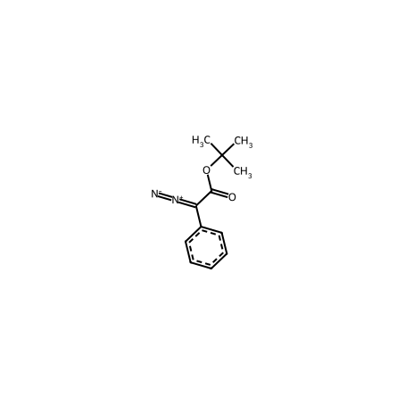 CC(C)(C)OC(=O)C(=[N+]=[N-])c1ccccc1